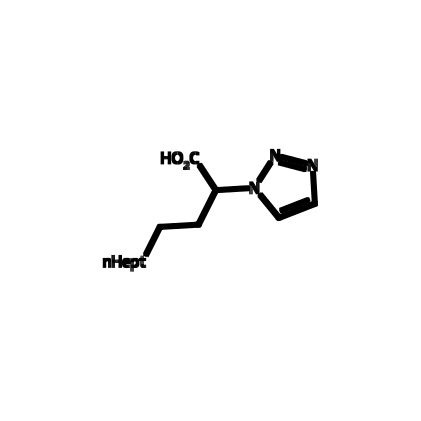 CCCCCCCCCC(C(=O)O)n1ccnn1